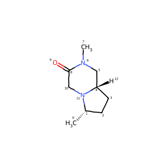 C[C@H]1CC[C@H]2CN(C)C(=O)CN21